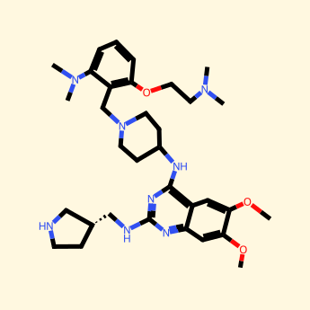 COc1cc2nc(NC[C@@H]3CCNC3)nc(NC3CCN(Cc4c(OCCN(C)C)cccc4N(C)C)CC3)c2cc1OC